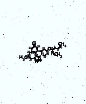 C=N/C(=C\C=C/C)O[C@H]1CC[C@H](c2nnc3n2-c2ccc(Cl)cc2CN(C)C3)CC1